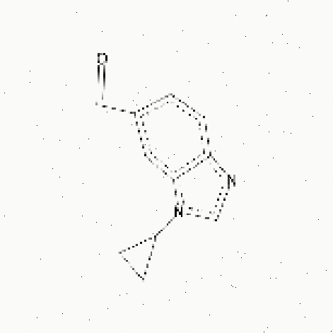 O=Cc1ccc2ncn(C3CC3)c2c1